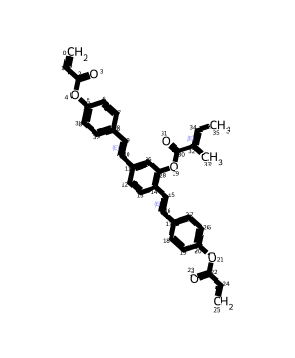 C=CC(=O)Oc1ccc(/C=C/c2ccc(/C=C/c3ccc(OC(=O)C=C)cc3)c(OC(=O)/C(C)=C/C)c2)cc1